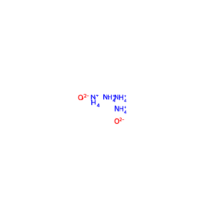 [NH4+].[NH4+].[NH4+].[NH4+].[O-2].[O-2]